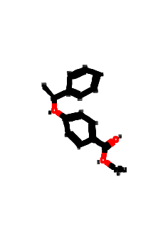 CCCCOC(=O)c1ccc(O[C@@H](C)c2ccccc2)cc1